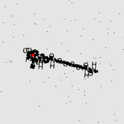 CCNC(=O)CNC(=O)CCOCCOCCOCCOCCNC(=O)c1ccc(NC(=O)[C@@H]2N[C@@H](CC(C)(C)C)[C@](C)(c3ccc(Cl)cc3F)[C@H]2c2cccc(Cl)c2F)c(OC)c1